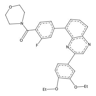 CCOc1ccc(-c2cnc3cccc(-c4ccc(C(=O)N5CCOCC5)c(F)c4)c3n2)cc1OCC